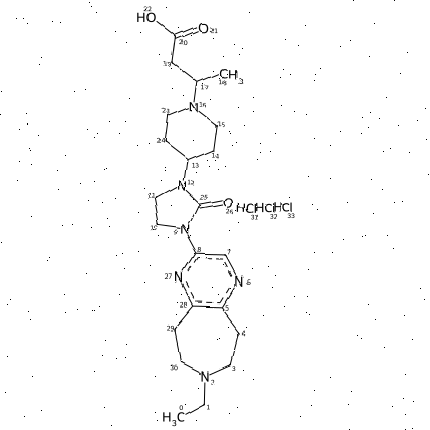 CCN1CCc2ncc(N3CCN(C4CCN(C(C)CC(=O)O)CC4)C3=O)nc2CC1.Cl.Cl.Cl